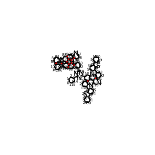 c1ccc(-c2nc(-c3ccc(-c4ccncc4-n4c5ccccc5c5c6sc7ccccc7c6ccc54)c(-n4c5ccccc5c5c6sc7ccccc7c6ccc54)c3)nc(-c3ccc(-c4ccncc4-n4c5ccccc5c5c6sc7ccccc7c6ccc54)c(-n4c5ccccc5c5c6sc7ccccc7c6ccc54)c3)n2)cc1